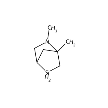 CN1CC2CC1(C)C[SiH2]2